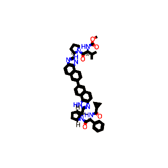 COC(=O)N[C@H](C(=O)N1CCC[C@H]1c1nc2ccc3cc(-c4ccc5c(ccc6nc([C@]7(C)[C@H]8CC[C@H](C8)N7C(=O)[C@H](NC(=O)C7CC7)c7ccccc7)[nH]c65)c4)ccc3c2[nH]1)C(C)C